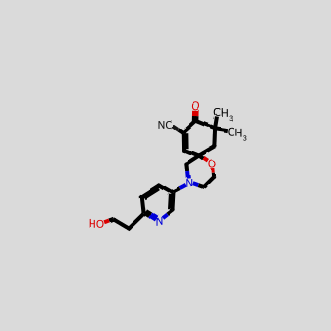 CC1(C)CC2(C=C(C#N)C1=O)CN(c1ccc(CCO)nc1)CCO2